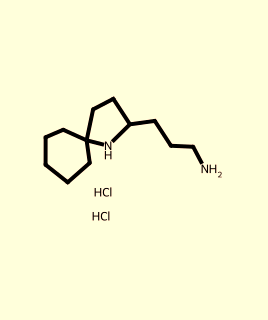 Cl.Cl.NCCCC1CCC2(CCCCC2)N1